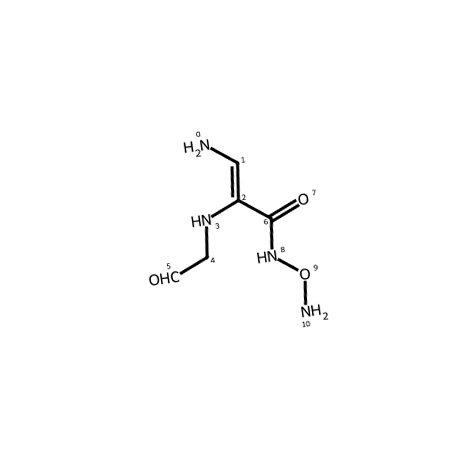 N/C=C(\NCC=O)C(=O)NON